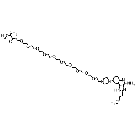 CCCCc1nc2c(N)nc3ccc(N4CCN(CCOCCOCCOCCOCCOCCOCCOCCOCCOCCOCCC(=O)C(C)C)CC4)cc3c2[nH]1